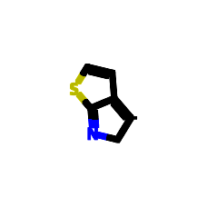 [C]1=c2ccsc2=NC1